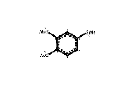 CSc1ccc(OC(C)=O)c(SC)c1